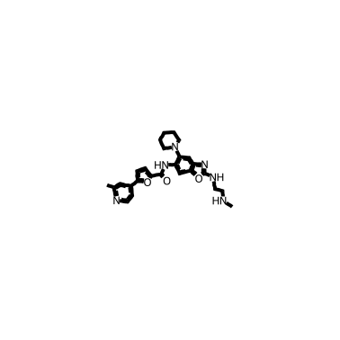 CNCCNc1nc2cc(N3CCCCC3)c(NC(=O)c3ccc(-c4ccnc(C)c4)o3)cc2o1